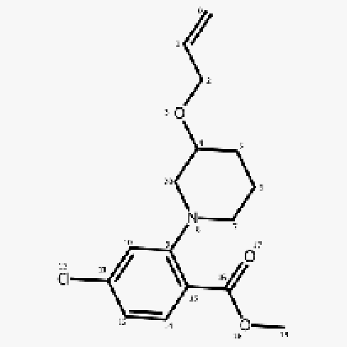 C=CCOC1CCCN(c2cc(Cl)ccc2C(=O)OC)C1